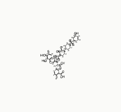 O=C(O)c1c(F)ccc2c1OB(O)[C@@H](NC(=O)C(NC(=O)N1CCN(C3CCN(S(=O)(=O)c4cccc(O)c4)CC3)C(=O)C1=O)c1cc(F)c(O)c(O)c1Cl)C2